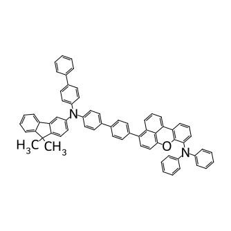 CC1(C)c2ccccc2-c2cc(N(c3ccc(-c4ccccc4)cc3)c3ccc(-c4ccc(-c5ccc6c7c(cccc57)-c5cccc(N(c7ccccc7)c7ccccc7)c5O6)cc4)cc3)ccc21